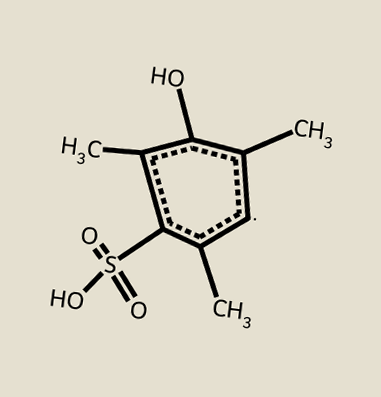 Cc1[c]c(C)c(S(=O)(=O)O)c(C)c1O